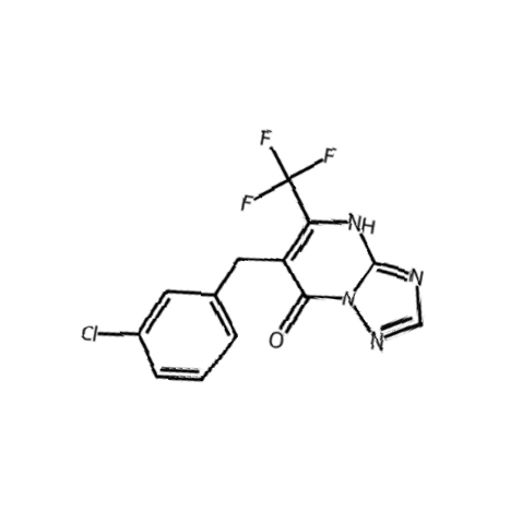 O=c1c(Cc2cccc(Cl)c2)c(C(F)(F)F)[nH]c2ncnn12